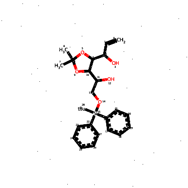 C=CC(O)C1OC(C)(C)OC1C(O)CO[Si](c1ccccc1)(c1ccccc1)C(C)(C)C